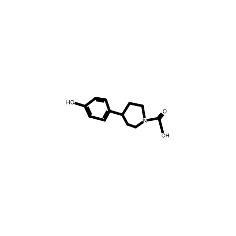 O=C(O)N1CCC(c2ccc(O)cc2)CC1